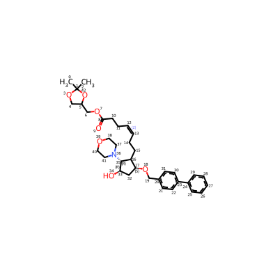 CC1(C)OCC(COC(=O)CC/C=C\CCC2[C@@H](OCc3ccc(-c4ccccc4)cc3)C[C@@H](O)[C@@H]2N2CCOCC2)O1